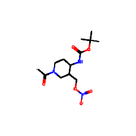 [CH2]C(=O)N1CCC(NC(=O)OC(C)(C)C)C(CO[N+](=O)[O-])C1